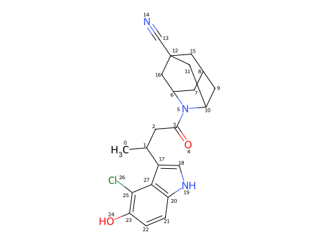 CC(CC(=O)N1C2CC3CC1CC(C#N)(C3)C2)c1c[nH]c2ccc(O)c(Cl)c12